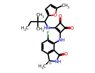 CCC(C)(C)C(Nc1c(Nc2c(F)ccc3c2C(=O)N[C@H]3C)c(=O)c1=O)c1ccc(C)o1